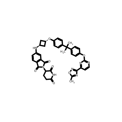 Cc1nc(-c2ccnc(Oc3ccc(C(C)(C)c4ccc(O[C@H]5C[C@H](Nc6ccc7c(c6)C(=O)N(C6CCC(=O)NC6=O)C7=O)C5)cc4)cc3)n2)no1